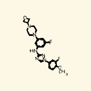 COc1ccc(-n2cnc(Nc3cc(F)cc(N4CCN(C5COC5)CC4)c3)n2)cc1F